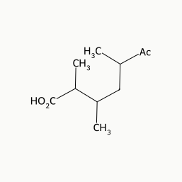 CC(=O)C(C)CC(C)C(C)C(=O)O